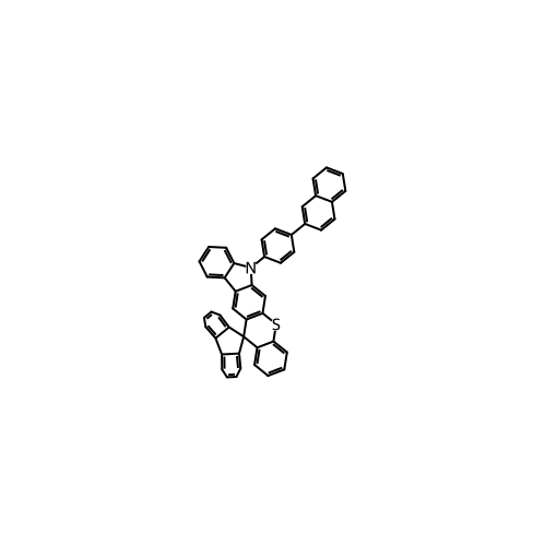 c1ccc2c(c1)Sc1cc3c(cc1C21c2ccccc2-c2ccccc21)c1ccccc1n3-c1ccc(-c2ccc3ccccc3c2)cc1